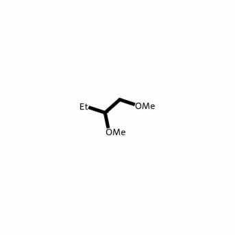 CC[C](COC)OC